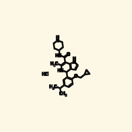 CC1=C(C(=O)NC2CCNCC2)c2[nH]ccc2C(c2cc(C(C)C)ccc2OCC2CC2)N1.Cl